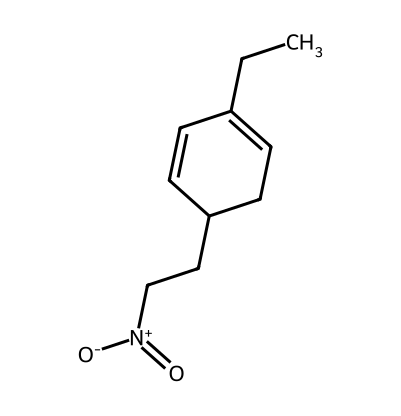 CCC1=CCC(CC[N+](=O)[O-])C=C1